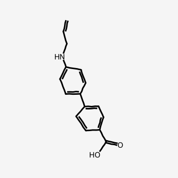 C=CCNc1ccc(-c2ccc(C(=O)O)cc2)cc1